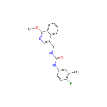 CCOc1ncc(CNC(=O)Nc2ccc(F)c(C)c2)c2ccccc12